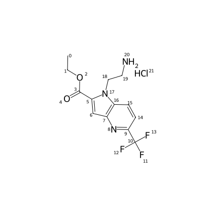 CCOC(=O)c1cc2nc(C(F)(F)F)ccc2n1CCN.Cl